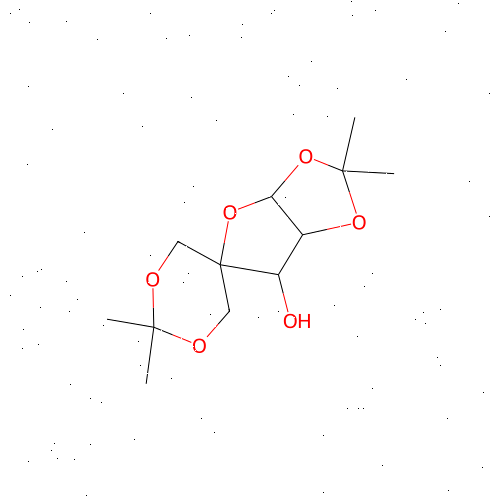 CC1(C)OCC2(CO1)OC1OC(C)(C)OC1C2O